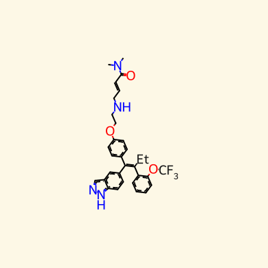 CCC(=C(c1ccc(OCCNCC=CC(=O)N(C)C)cc1)c1ccc2[nH]ncc2c1)c1ccccc1OC(F)(F)F